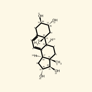 C[C@]12CC[C@H]3C(=CC=C4C[C@@H](O)[C@H](O)C[C@@]43C)[C@@H]1C[C@@H](O)[C@@H]2O